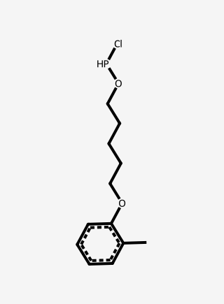 Cc1ccccc1OCCCCCOPCl